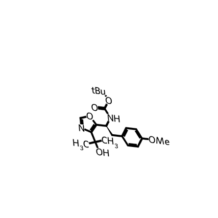 COc1ccc(C[C@H](NC(=O)OC(C)(C)C)c2ocnc2C(C)(C)O)cc1